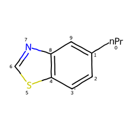 CCCc1c[c]c2scnc2c1